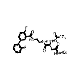 CC(C)(C)NC(=O)C[C@H](NOC(=O)C(F)(F)F)C(=O)NCCNC(=O)c1cc(-c2ccccc2F)ccc1F